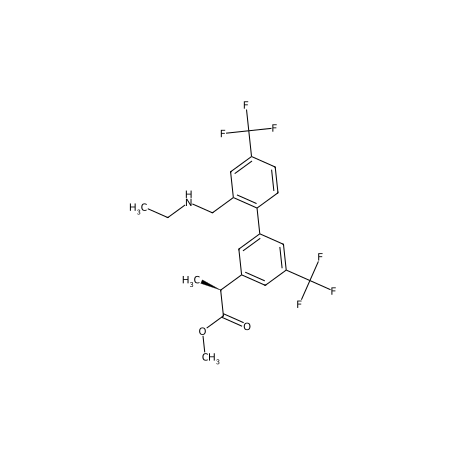 CCNCc1cc(C(F)(F)F)ccc1-c1cc([C@H](C)C(=O)OC)cc(C(F)(F)F)c1